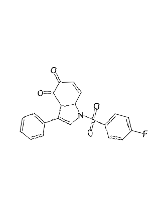 O=C1C=CC2C(C1=O)C(c1ccccc1)=CN2S(=O)(=O)c1ccc(F)cc1